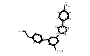 N#CCCc1ccc(-c2cc(C(=O)O)cc(-n3cc(-c4ccc(C(F)(F)F)cc4)nn3)c2)cc1